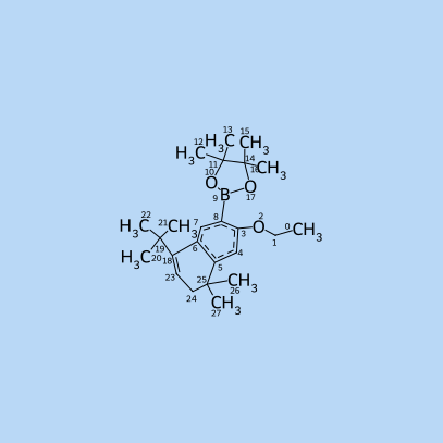 CCOc1cc2c(cc1B1OC(C)(C)C(C)(C)O1)C(C(C)(C)C)=CCC2(C)C